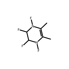 CC1=C(C)N(F)C(F)C(F)N1F